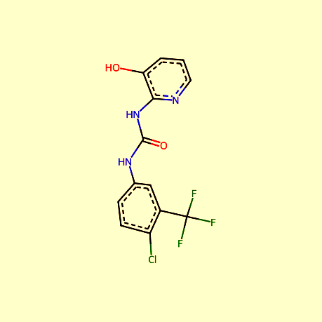 O=C(Nc1ccc(Cl)c(C(F)(F)F)c1)Nc1ncccc1O